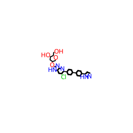 OCC1OC[C@H](Oc2nc3nc(-c4ccc(-c5ccc(-c6ccn[nH]6)cc5)cc4)c(Cl)cc3[nH]2)C[C@@H]1O